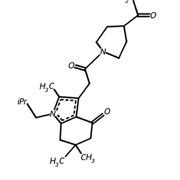 Cc1c(CC(=O)N2CCC(C(N)=O)CC2)c2c(n1CC(C)C)CC(C)(C)CC2=O